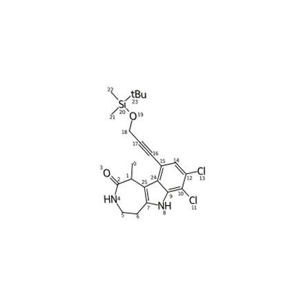 CC1C(=O)NCCc2[nH]c3c(Cl)c(Cl)cc(C#CCO[Si](C)(C)C(C)(C)C)c3c21